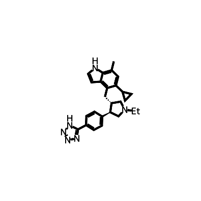 CCN1C[C@@H](Cc2c(C3CC3)cc(C)c3[nH]ccc23)[C@H](c2ccc(-c3nnn[nH]3)cc2)C1